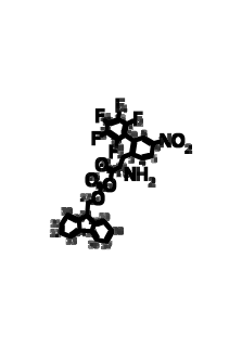 N[C@@H](Cc1ccc([N+](=O)[O-])cc1-c1c(F)c(F)c(F)c(F)c1F)C(=O)OC(=O)OCC1c2ccccc2-c2ccccc21